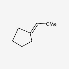 COC=C1CCCC1